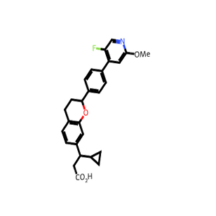 COc1cc(-c2ccc(C3CCc4ccc(C(CC(=O)O)C5CC5)cc4O3)cc2)c(F)cn1